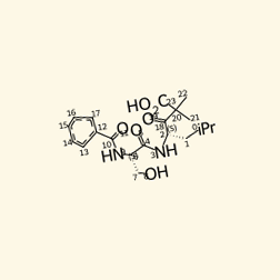 CC(C)C[C@H](NC(=O)[C@H](CO)NC(=O)c1ccccc1)C(=O)C(C)(C)C(=O)O